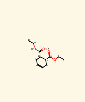 CCOC(=O)[C@H]1CC=CC[C@@H]1C(=O)OCC